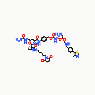 Cc1ncsc1-c1ccc(CNCOC(CN)OCNC(=O)OCc2ccc(NC(=O)[C@H](CCCNC(N)=O)NC(=O)C3(C(=O)NCCCCCN4C(=O)C=CC4=O)CCC3)cc2)cc1